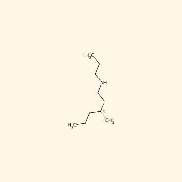 CCCNCC[C@H](C)CCC